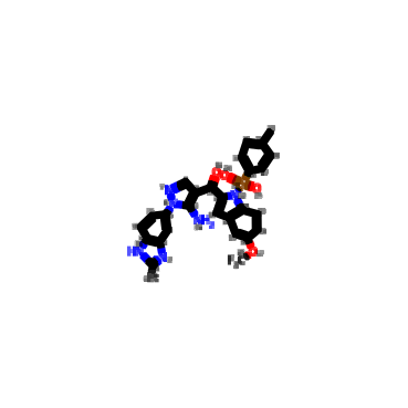 CCc1nc2cc(-n3ncc(C(=O)c4cc5cc(OC(F)(F)F)ccc5n4S(=O)(=O)c4ccc(C)cc4)c3N)ccc2[nH]1